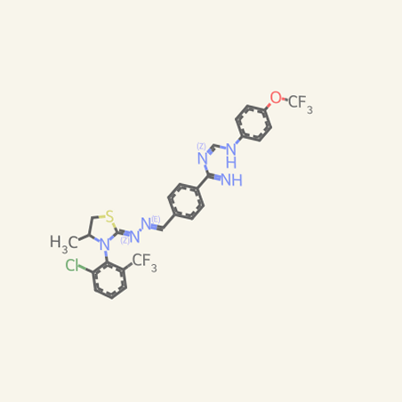 CC1CS/C(=N\N=C\c2ccc(C(=N)/N=C\Nc3ccc(OC(F)(F)F)cc3)cc2)N1c1c(Cl)cccc1C(F)(F)F